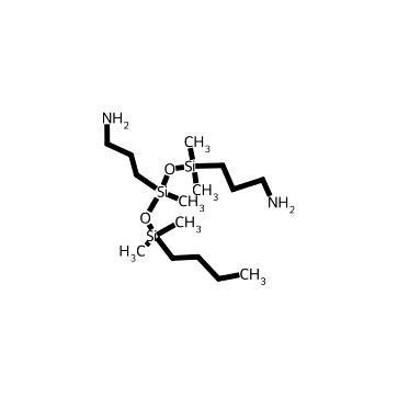 CCCC[Si](C)(C)O[Si](C)(CCCN)O[Si](C)(C)CCCN